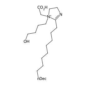 CCCCCCCCCCCCCCCCCCC1=NCC[N+]1(CCCCO)CC(=O)O